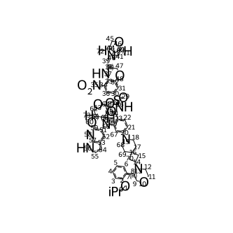 CC(C)Oc1ccccc1[C@@H]1COCCN1C1CC2(CCN(c3ccc(C(=O)NS(=O)(=O)c4cc5c(c([N+](=O)[O-])c4)N[C@H](CN4C[C@H]6C[C@@H]4CO6)CO5)c(N4c5cc6cc[nH]c6nc5O[C@H]5COCC[C@@H]54)c3)CC2)C1